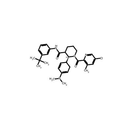 Cc1cc(Cl)cnc1C(=O)N1CCCC(C(=O)Nc2cccc(C(C)(C)C)c2)[C@@H]1C1C=CC(N(C)C)=CC1